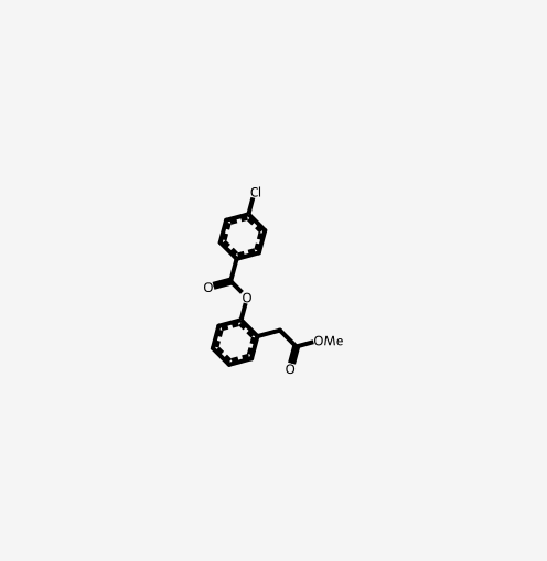 COC(=O)Cc1ccccc1OC(=O)c1ccc(Cl)cc1